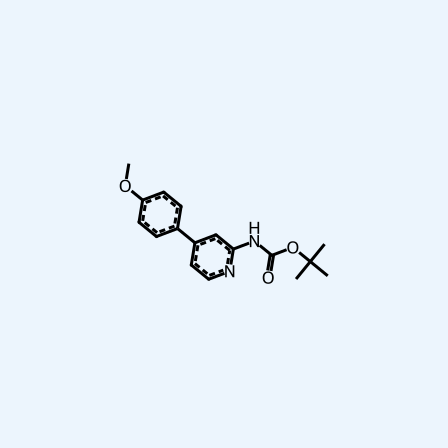 COc1ccc(-c2ccnc(NC(=O)OC(C)(C)C)c2)cc1